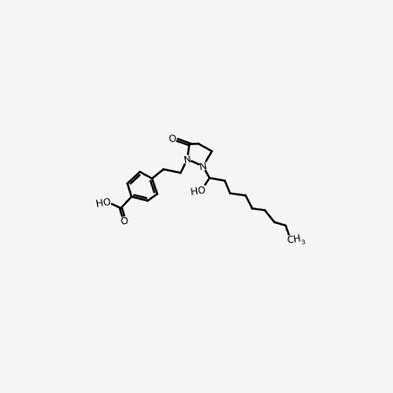 CCCCCCCCC(O)N1CCC(=O)N1CCc1ccc(C(=O)O)cc1